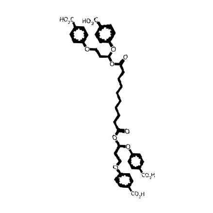 O=C(CCCCCCCCC(=O)OC(CCOc1ccc(C(=O)O)cc1)Oc1ccc(C(=O)O)cc1)OC(CCOc1ccc(C(=O)O)cc1)Oc1ccc(C(=O)O)cc1